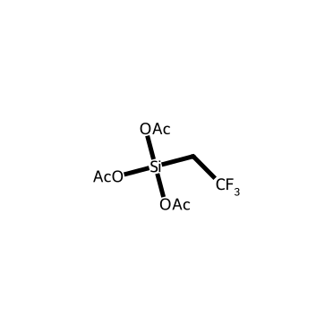 CC(=O)O[Si](CC(F)(F)F)(OC(C)=O)OC(C)=O